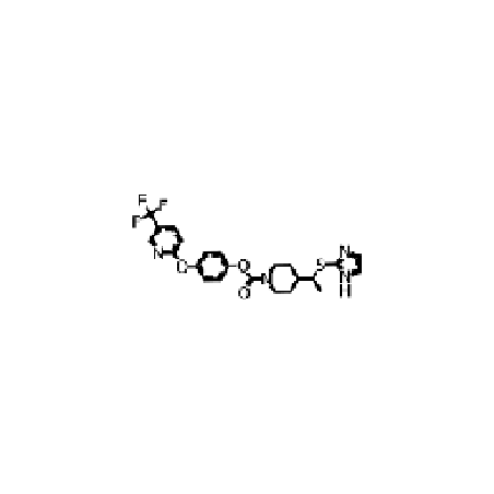 CC(Sc1ncc[nH]1)C1CCN(C(=O)Oc2ccc(Oc3ccc(C(F)(F)F)cn3)cc2)CC1